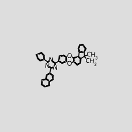 CC1(C)c2ccccc2-c2c1ccc1c2Oc2ccc(-c3nc(-c4ccccc4)nc(-c4ccc5ccccc5c4)n3)cc2O1